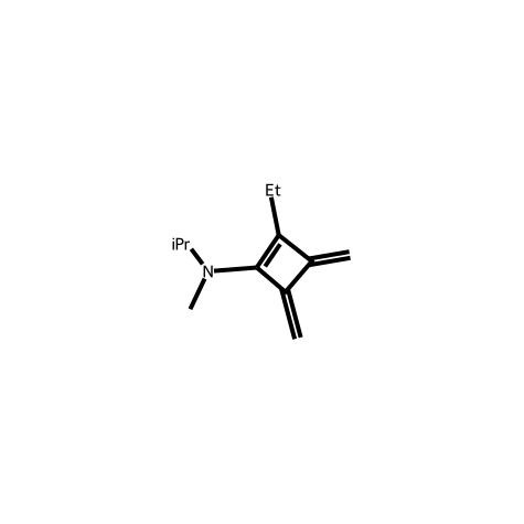 C=C1C(=C)C(N(C)C(C)C)=C1CC